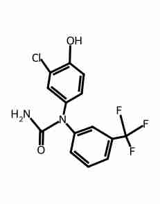 NC(=O)N(c1cccc(C(F)(F)F)c1)c1ccc(O)c(Cl)c1